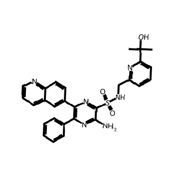 CC(C)(O)c1cccc(CNS(=O)(=O)c2nc(-c3ccc4ncccc4c3)c(-c3ccccc3)nc2N)n1